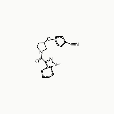 Cn1nc(C(=O)N2CC[C@@H](Oc3ccc(C#N)cc3)C2)c2ccccc21